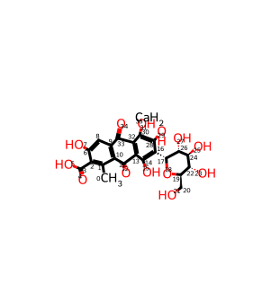 Cc1c(C(=O)O)c(O)cc2c1C(=O)c1c(O)c([C@H]3O[C@H](CO)[C@@H](O)[C@H](O)[C@H]3O)c(O)c(O)c1C2=O.[CaH2]